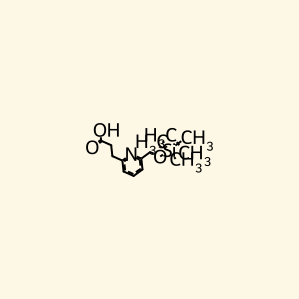 CC(C)(C)[Si](C)(C)OCc1cccc(CCC(=O)O)n1